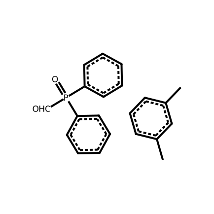 Cc1cccc(C)c1.O=CP(=O)(c1ccccc1)c1ccccc1